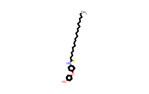 CCCCCCCCCCCCCCCCCCCCC(=S)Nc1ccc(Oc2ccc(O)cc2)cc1